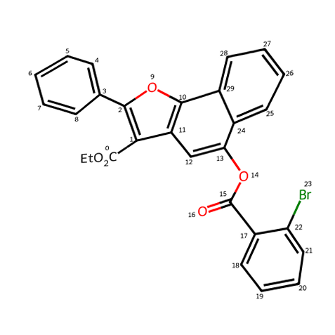 CCOC(=O)c1c(-c2ccccc2)oc2c1cc(OC(=O)c1ccccc1Br)c1ccccc12